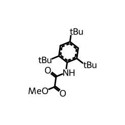 COC(=O)C(=O)Nc1c(C(C)(C)C)cc(C(C)(C)C)cc1C(C)(C)C